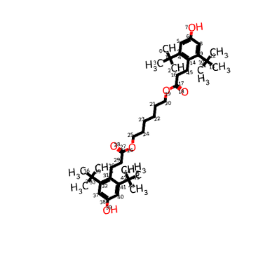 CC(C)(C)c1cc(O)cc(C(C)(C)C)c1CCC(=O)OCCCCCCOC(=O)CCc1c(C(C)(C)C)cc(O)cc1C(C)(C)C